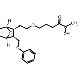 CN(O)C(=O)CCCOCC[C@H]1[C@@H](COc2ccccc2)[C@H]2CC[C@@H]1O2